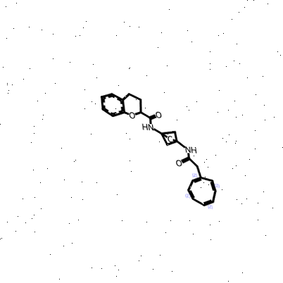 O=C(CC1=C/C=C\C=C/C=C\1)NC12CC(NC(=O)C3CCc4ccccc4O3)(C1)C2